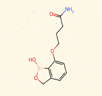 NC(=O)CCCOc1cccc2c1B(O)OC2